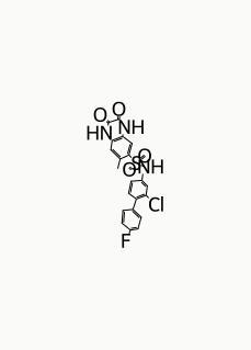 Cc1cc2[nH]c(=O)c(=O)[nH]c2cc1S(=O)(=O)Nc1ccc(-c2ccc(F)cc2)c(Cl)c1